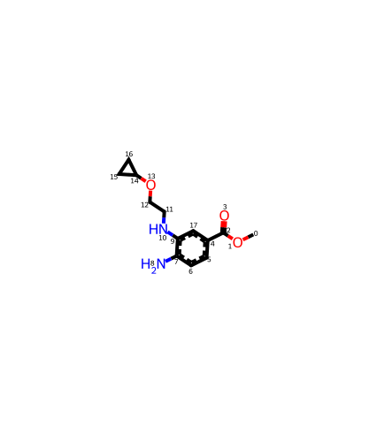 COC(=O)c1ccc(N)c(NCCOC2CC2)c1